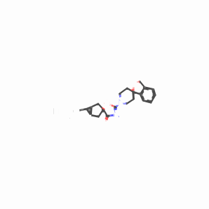 O=C(O)C1C2CC3(CC21)OC(N1CCC2(CC1)OCc1ccccc12)=NC3=O